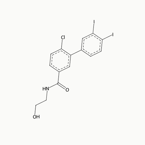 O=C(NCCO)c1ccc(Cl)c(-c2ccc(I)c(I)c2)c1